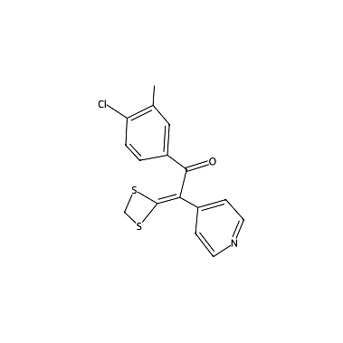 Cc1cc(C(=O)C(=C2SCS2)c2ccncc2)ccc1Cl